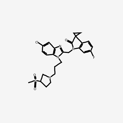 CS(=O)(=O)C1CCN(CCCn2c(CN3C(=O)C4(CC4)c4ccc(F)cc43)nc3cc(Cl)ccc32)C1